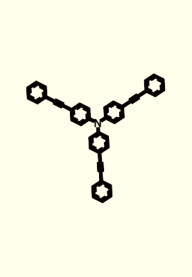 C(#Cc1ccc(N(c2ccc(C#Cc3ccccc3)cc2)c2ccc(C#Cc3ccccc3)cc2)cc1)c1ccccc1